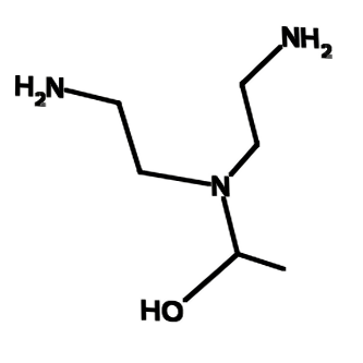 CC(O)N(CCN)CCN